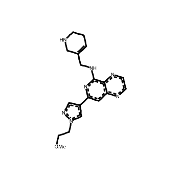 COCCn1cc(-c2cc3nccnc3c(NCC3=CCCNC3)n2)cn1